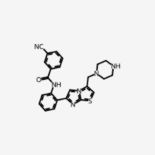 N#Cc1cccc(C(=O)Nc2ccccc2-c2cn3c(CN4CCNCC4)csc3n2)c1